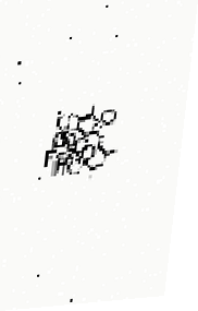 COc1c(C)c2c(c(OS(=O)(=O)C(F)(F)F)c1C/C=C(\C)C[C@H](C)C(=O)O)C(=O)OC2